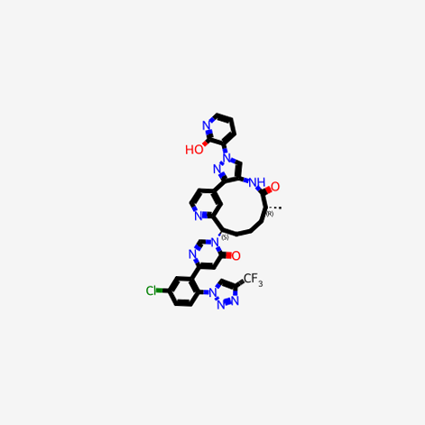 C[C@@H]1CCC[C@H](n2cnc(-c3cc(Cl)ccc3-n3cc(C(F)(F)F)nn3)cc2=O)c2cc(ccn2)-c2nn(-c3cccnc3O)cc2NC1=O